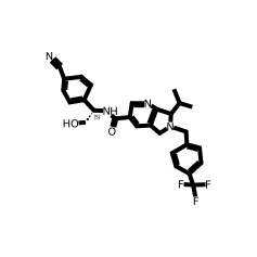 CC(C)C1c2ncc(C(=O)N[C@H](CO)c3ccc(C#N)cc3)cc2CN1Cc1ccc(C(F)(F)F)cc1